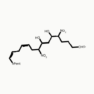 CCCCC/C=C\C/C=C\CC(C(O)CC(O)C(CCC[C]=O)[N+](=O)[O-])[N+](=O)[O-]